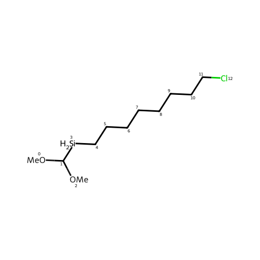 COC(OC)[SiH2]CCCCCCCCCl